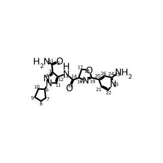 NC(=O)c1nn(C2CCCC2)cc1NC(=O)C1COC(c2ccnc(N)c2)=N1